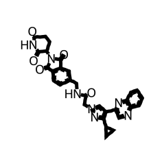 O=C(Cn1cc(-c2cnc3ccccc3n2)c(C2CC2)n1)NCc1ccc2c(c1)C(=O)N(C1CCC(=O)NC1=O)C2=O